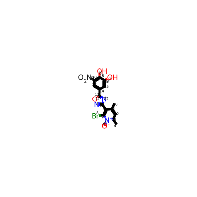 Cc1cc(C)[n+]([O-])c(Br)c1-c1noc(-c2cc(O)c(O)c([N+](=O)[O-])c2)n1